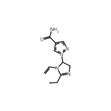 C=CN1C(CC)=NCC1n1cc(C(N)=O)cn1